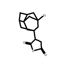 CCC12CC3CC4CC(C5CC(=O)OC5=O)(C1)CC34C2